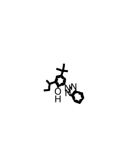 CCC(C)c1cc(C(C)(C)C)cc(-n2nc3ccccc3n2)c1O